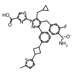 Cc1ccc(C2CC(c3cccc(-c4nn(-c5nc(C(=O)O)cs5)c(CC5CC5)c4Cc4ccc([S+](N)[O-])c(F)c4)c3)C2)s1